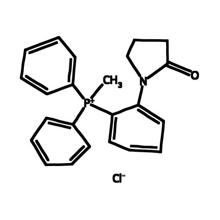 C[P+](c1ccccc1)(c1ccccc1)c1ccccc1N1CCCC1=O.[Cl-]